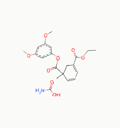 CCOC(=O)C1=CC=CC(C)(C(=O)Oc2cc(OC)cc(OC)c2)C1.NC(=O)O